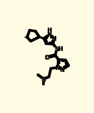 CN(C)CCn1nccc1C(=O)Nc1cc([C@H]2C[CH]CC2)[nH]n1